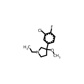 CCN1CCC(OC)(c2ccc(F)c(Cl)c2)C1